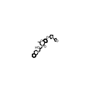 C[C@@H]1CN(C[C@H](O)CN2CCc3ccccc3C2)C(=O)c2ccc(O[C@@H]3CCN(C4COC4)C3)cc2O1